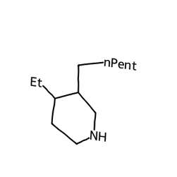 CCCCCCC1CNCCC1CC